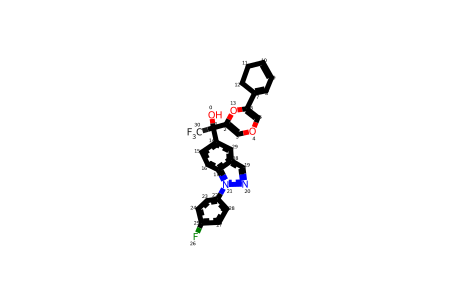 OC(C1=COC=C(C2=CC=CCC2)O1)(c1ccc2c(cnn2-c2ccc(F)cc2)c1)C(F)(F)F